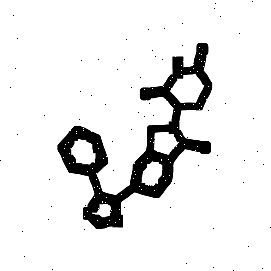 O=C1CCC(N2Cc3cc(-c4ncsc4-c4ccccc4)ccc3C2=O)C(=O)N1